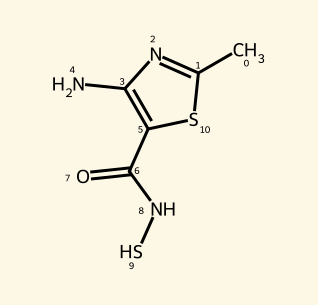 Cc1nc(N)c(C(=O)NS)s1